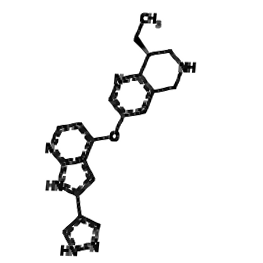 CC[C@H]1CNCc2cc(Oc3ccnc4[nH]c(-c5cn[nH]c5)cc34)cnc21